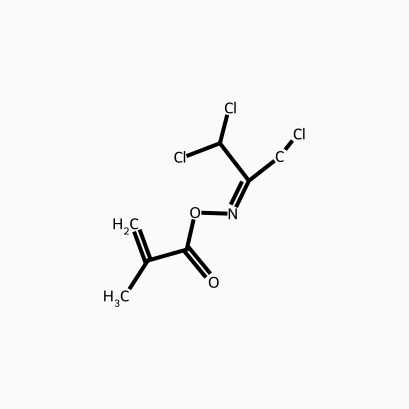 C=C(C)C(=O)ON=C(CCl)C(Cl)Cl